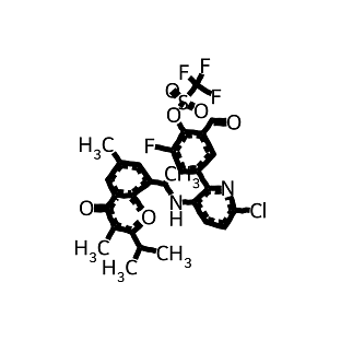 Cc1cc(C(C)Nc2ccc(Cl)nc2-c2cc(F)c(OS(=O)(=O)C(F)(F)F)c(C=O)c2)c2oc(C(C)C)c(C)c(=O)c2c1